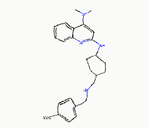 COc1ccc(CNCC2CCC(Nc3cc(N(C)C)c4ccccc4n3)CC2)cc1